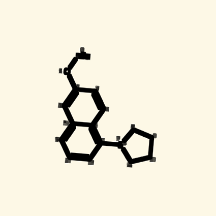 CCCCOc1ccc2c([S+]3CCCC3)cccc2c1